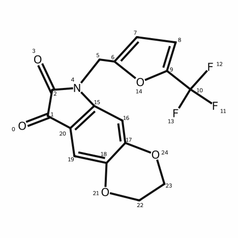 O=C1C(=O)N(Cc2ccc(C(F)(F)F)o2)c2cc3c(cc21)OCCO3